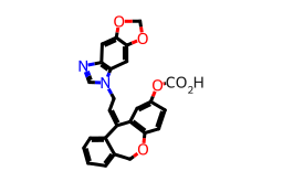 O=C(O)Oc1ccc2c(c1)C(=CCn1cnc3cc4c(cc31)OCO4)c1ccccc1CO2